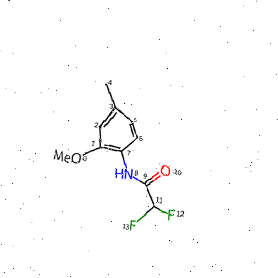 COc1cc(C)[c]cc1NC(=O)C(F)F